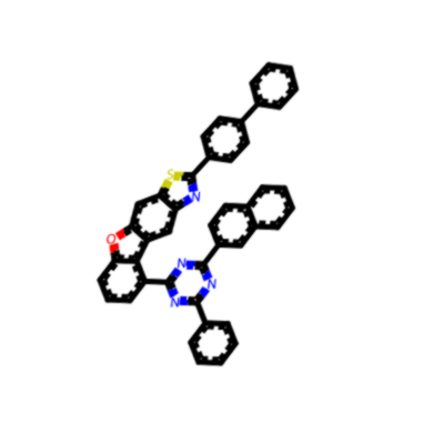 c1ccc(-c2ccc(-c3nc4cc5c(cc4s3)oc3cccc(-c4nc(-c6ccccc6)nc(-c6ccc7ccccc7c6)n4)c35)cc2)cc1